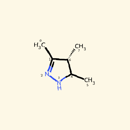 CC1=NNC(C)[C@H]1C